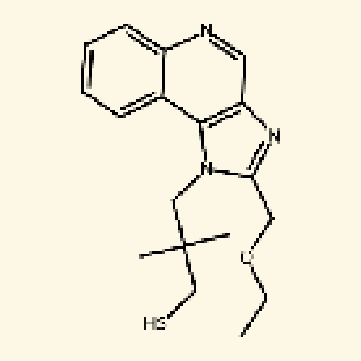 CCOCc1nc2cnc3ccccc3c2n1CC(C)(C)CS